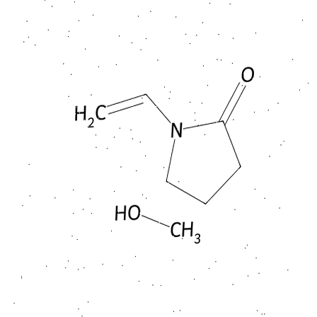 C=CN1CCCC1=O.CO